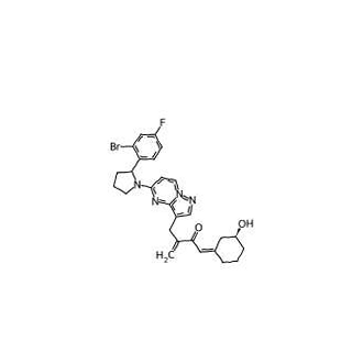 C=C(Cc1cnn2ccc(N3CCCC3c3ccc(F)cc3Br)nc12)C(=O)/C=C1/CCC[C@H](O)C1